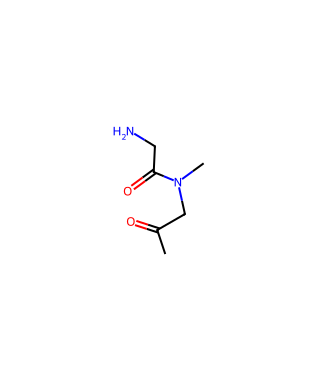 CC(=O)CN(C)C(=O)CN